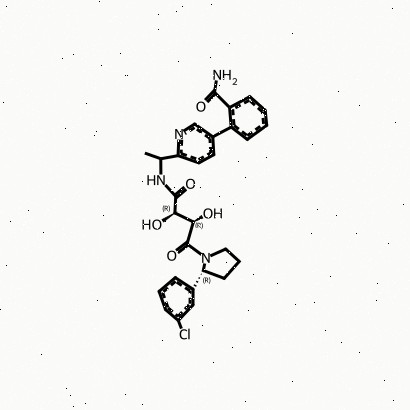 CC(NC(=O)[C@H](O)[C@@H](O)C(=O)N1CCC[C@@H]1c1cccc(Cl)c1)c1ccc(-c2ccccc2C(N)=O)cn1